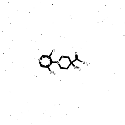 Bc1cncc(Cl)c1N1CCC(N)(C(N)=O)CC1